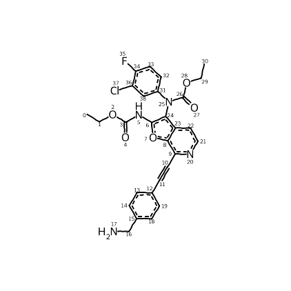 CCOC(=O)Nc1oc2c(C#Cc3ccc(CN)cc3)nccc2c1N(C(=O)OCC)c1ccc(F)c(Cl)c1